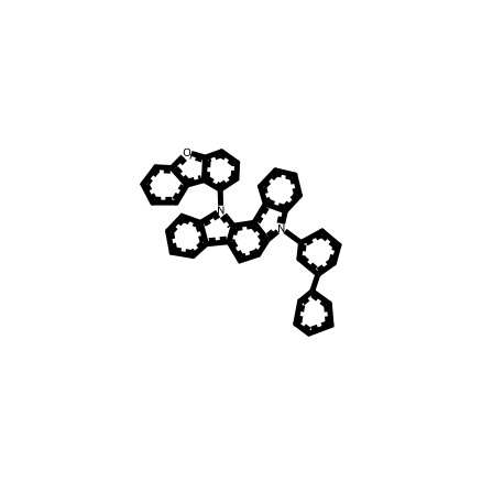 c1ccc(-c2cccc(-n3c4ccccc4c4c3ccc3c5ccccc5n(-c5cccc6oc7ccccc7c56)c34)c2)cc1